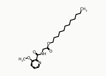 CCCCCCCCCCCCOC(=O)CNC(=O)c1ncccc1OC